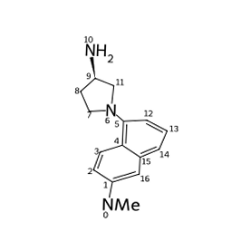 CNc1ccc2c(N3CC[C@@H](N)C3)cccc2c1